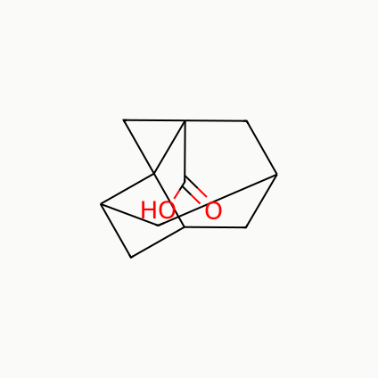 O=C(O)C12CC3CC4CC(C3)C41C2